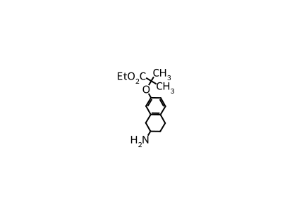 CCOC(=O)C(C)(C)Oc1ccc2c(c1)CC(N)CC2